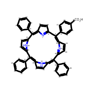 O=C(O)c1ccc(-c2c3nc(c(-c4ccccc4)c4ccc([nH]4)c(-c4ccccc4)c4ccc([nH]4)c(-c4ccccc4)c4nc2C=C4)C=C3)cc1